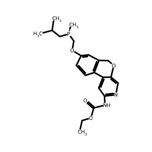 CCOC(=O)Nc1cc2c(cn1)OCc1cc(OC[P@](C)CC(C)C)ccc1-2